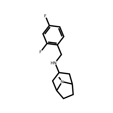 CN1C2CCC1CC(NCc1ccc(F)cc1F)C2